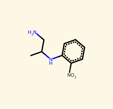 CC(CN)Nc1ccccc1[N+](=O)[O-]